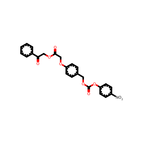 O=C(COc1ccc(COC(=O)Oc2ccc([N+](=O)[O-])cc2)cc1)OCC(=O)c1ccccc1